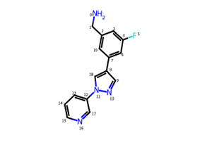 NCc1cc(F)cc(-c2cnn(-c3cccnc3)c2)c1